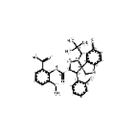 COc1cccc(C(=O)O)c1NC(=O)[C@@H]1N[C@@H](CC(C)(C)C)[C@@]2(CNc3ccc(Cl)cc32)[C@H]1c1ccccc1Cl